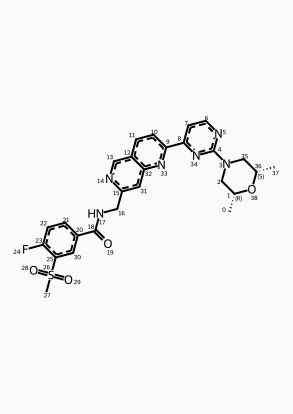 C[C@@H]1CN(c2nccc(-c3ccc4cnc(CNC(=O)c5ccc(F)c(S(C)(=O)=O)c5)cc4n3)n2)C[C@H](C)O1